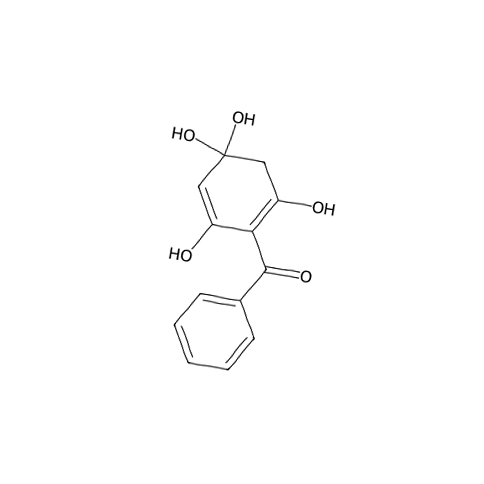 O=C(C1=C(O)CC(O)(O)C=C1O)c1ccccc1